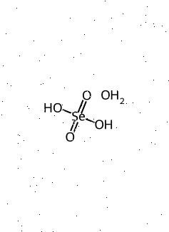 O.O=[Se](=O)(O)O